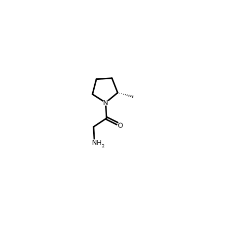 C[C@H]1CCCN1C(=O)CN